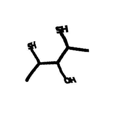 CC(S)C(O)C(C)S